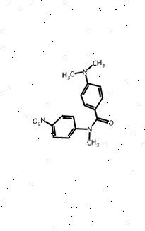 CN(C)c1ccc(C(=O)N(C)c2ccc([N+](=O)[O-])cc2)cc1